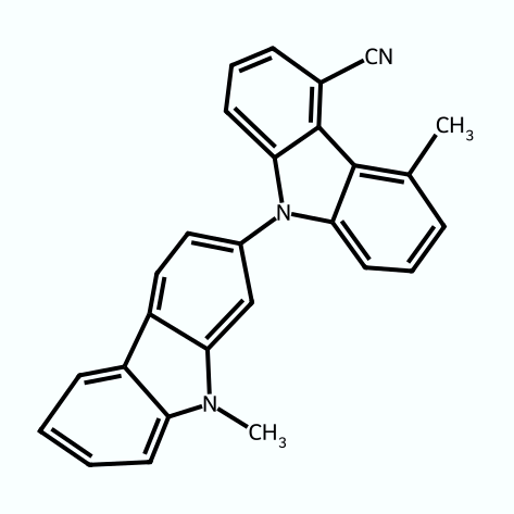 Cc1cccc2c1c1c(C#N)cccc1n2-c1ccc2c3ccccc3n(C)c2c1